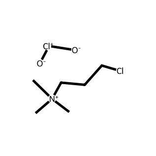 C[N+](C)(C)CCCCl.[O-][Cl+][O-]